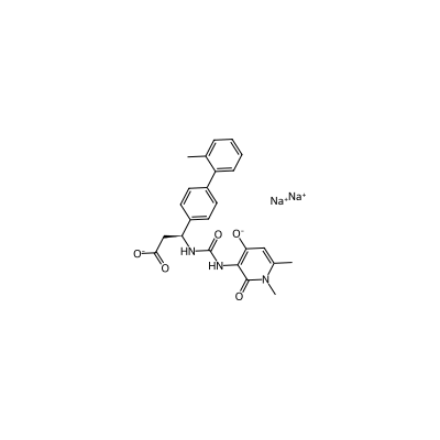 Cc1ccccc1-c1ccc([C@H](CC(=O)[O-])NC(=O)Nc2c([O-])cc(C)n(C)c2=O)cc1.[Na+].[Na+]